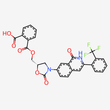 O=C(O)c1ccccc1C(=O)OC[C@@H]1CN(c2ccc3cc(-c4ccccc4C(F)(F)F)[nH]c(=O)c3c2)C(=O)O1